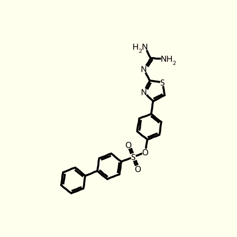 NC(N)=Nc1nc(-c2ccc(OS(=O)(=O)c3ccc(-c4ccccc4)cc3)cc2)cs1